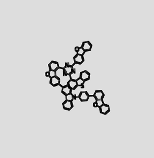 c1ccc2c(c1)oc1cc(-c3nc(-c4cccc5oc6ccc(-c7ccc8c(c7)c7ccccc7n8-c7ccc(-c8cccc9c8oc8ccccc89)cc7)cc6c45)nc(-c4cccc5sc6ccccc6c45)n3)ccc12